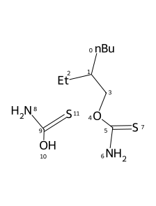 CCCCC(CC)COC(N)=S.NC(O)=S